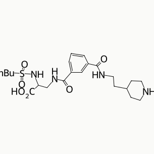 CCCCS(=O)(=O)NC(CNC(=O)c1cccc(C(=O)NCCC2CCNCC2)c1)C(=O)O